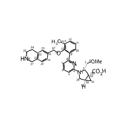 COC[C@H]1N(c2cccc(-c3cccc(C)c3OCc3ccc4c(c3)CCNC4)n2)C[C@@H]2C[C@@]21C(=O)O